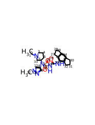 CCN1CCCC(N(c2cnn(C)c2)S(=O)(=O)NC(=O)Nc2c3c(cc4c2CCC4)CCC3)C1